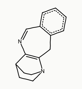 C1=NC2=C(Cc3ccccc31)N1CCC2CC1